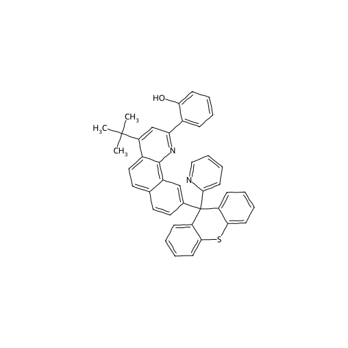 CC(C)(C)c1cc(-c2ccccc2O)nc2c1ccc1ccc(C3(c4ccccn4)c4ccccc4Sc4ccccc43)cc12